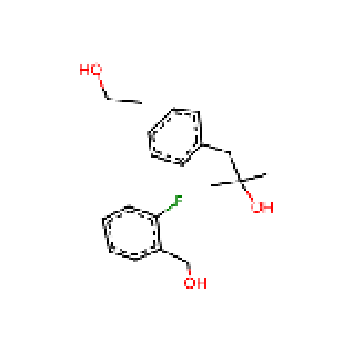 CC(C)(O)Cc1ccccc1.CCO.OCc1ccccc1F